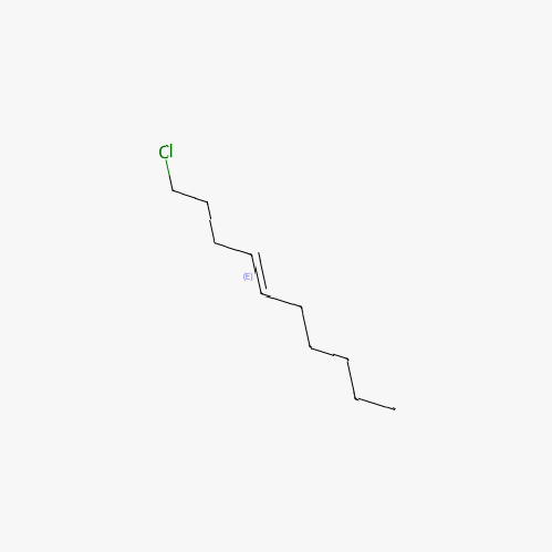 CCCCC/C=C/CCCCl